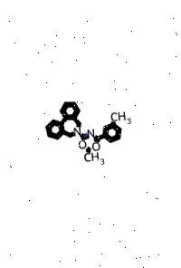 CCO/C(=N\C(=O)c1cccc(C)c1)N1Cc2ccccc2-c2ccccc2C1